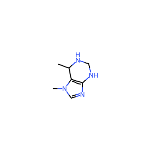 CC1NCNc2ncn(C)c21